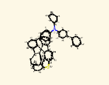 C1=CCC2C(=C1)C1(c3ccccc3-c3ccc4sc5ccccc5c4c31)c1c(-c3ccc(N(c4ccccc4)c4ccc(-c5ccccc5)cc4)cc3)cccc12